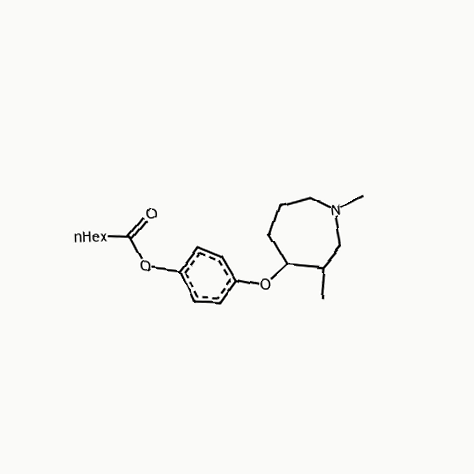 CCCCCCC(=O)Oc1ccc(OC2CCCN(C)CC2C)cc1